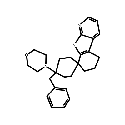 c1ccc(CC2(N3CCOCC3)CCC3(CCCc4c3[nH]c3ncccc43)CC2)cc1